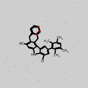 Cc1cc(C)c(C)c(-c2cc(Cl)c3[nH]c4cc(C#N)c5c(c4c3c2)C2c3ccccc3C5c3ccccc32)c1C